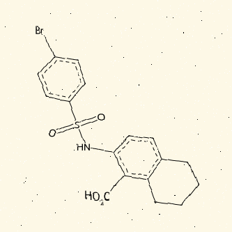 O=C(O)c1c(NS(=O)(=O)c2ccc(Br)cc2)ccc2c1CCCC2